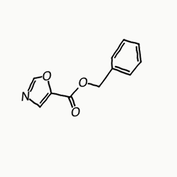 O=C(OCc1ccccc1)c1cnco1